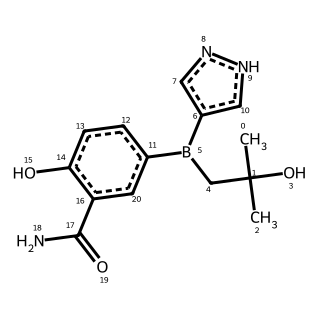 CC(C)(O)CB(c1cn[nH]c1)c1ccc(O)c(C(N)=O)c1